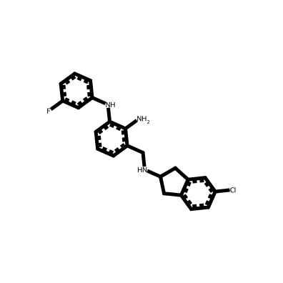 Nc1c(CNC2Cc3ccc(Cl)cc3C2)cccc1Nc1cccc(F)c1